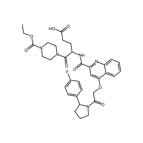 CCOC(=O)N1CCN(C(=O)C(CCC(=O)O)NC(=O)c2cc(OCC(=O)N3CCCC3c3ccc(F)cc3)c3ccccc3n2)CC1